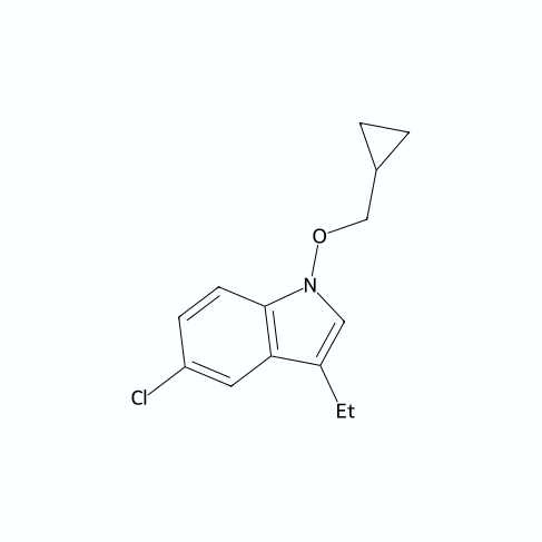 CCc1cn(OCC2CC2)c2ccc(Cl)cc12